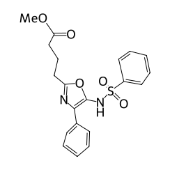 COC(=O)CCCc1nc(-c2ccccc2)c(NS(=O)(=O)c2ccccc2)o1